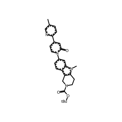 Cc1ccc(-c2ccn(-c3ccc4c5c(n(C)c4c3)CCN(C(=O)OC(C)(C)C)C5)c(=O)c2)nc1